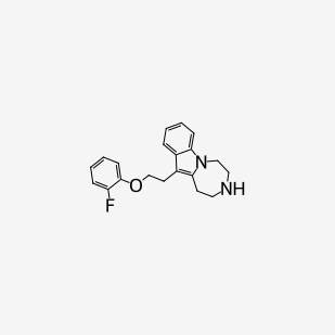 Fc1ccccc1OCCc1c2n(c3ccccc13)CCNCC2